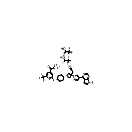 CNC(=O)c1cc(O[C@H]2CC[C@@H](N3CC(CC#N)(n4cc(-c5ncnc6[nH]ccc56)cn4)C3)CC2)nc(C(F)(F)F)c1.O=C(O)C(F)(F)F.O=C(O)C(F)(F)F